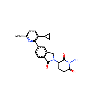 CNc1ccc(C2CC2)c(-c2ccc3c(c2)CN(C2CCC(=O)N(N)C2=O)C3=O)n1